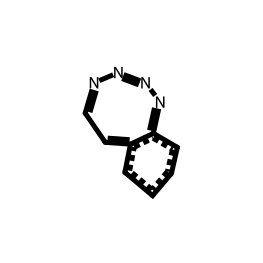 C1=N\N=N/N=c2/cccc/c2=C/1